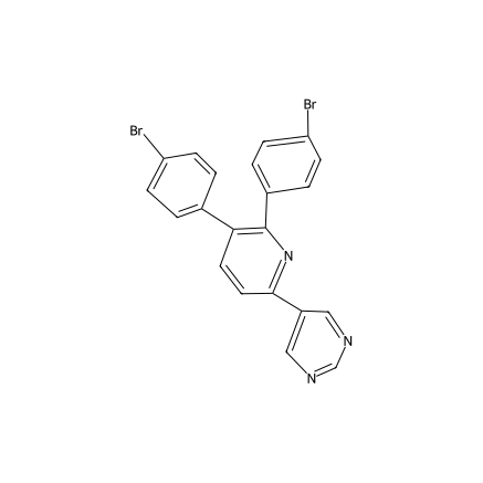 Brc1ccc(-c2ccc(-c3cncnc3)nc2-c2ccc(Br)cc2)cc1